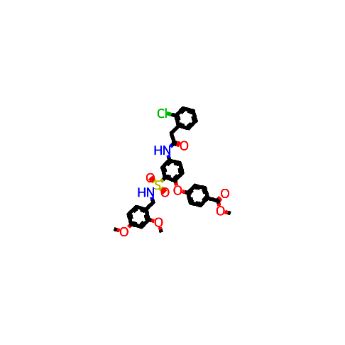 COC(=O)c1ccc(Oc2ccc(NC(=O)Cc3ccccc3Cl)cc2S(=O)(=O)NCc2ccc(OC)cc2OC)cc1